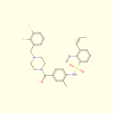 C=Nc1c(/C=C\C)cccc1S(=O)(=O)Nc1ccc(C(=O)N2CCN(Cc3cccc(F)c3F)CC2)cc1C